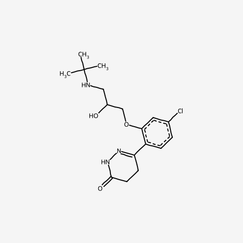 CC(C)(C)NCC(O)COc1cc(Cl)ccc1C1=NNC(=O)CC1